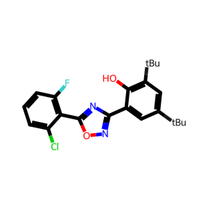 CC(C)(C)c1cc(-c2noc(-c3c(F)cccc3Cl)n2)c(O)c(C(C)(C)C)c1